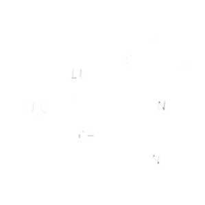 CCC(C)(C)c1cccn2cncc12